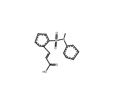 CN(c1ccccc1)S(=O)(=O)c1ccccc1/C=C/C(=O)O